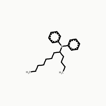 CCCCCCCC(CCCC)N(c1ccccc1)c1ccccc1